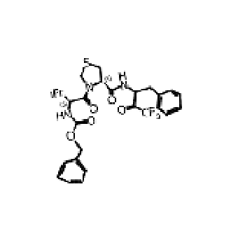 CC(C)[C@H](NC(=O)OCc1ccccc1)C(=O)N1CSC[C@H]1C(=O)NC(Cc1ccccc1)C(=O)C(F)(F)F